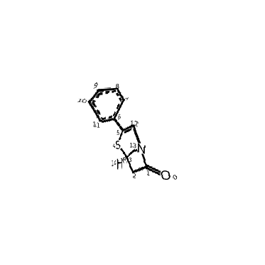 O=C1C[C@H]2SC(c3ccccc3)=CN12